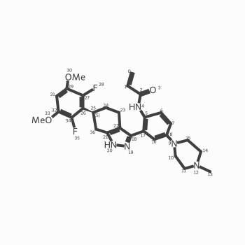 C=CC(=O)Nc1ccc(N2CCN(C)CC2)cc1-c1n[nH]c2c1CC[C@H](c1c(F)c(OC)cc(OC)c1F)C2